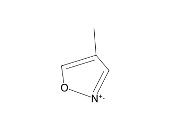 CC1=CO[N+]=C1